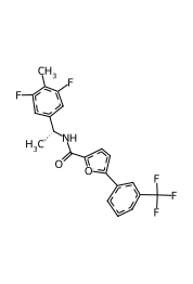 Cc1c(F)cc([C@@H](C)NC(=O)c2ccc(-c3cccc(C(F)(F)F)c3)o2)cc1F